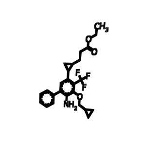 CCOC(=O)CCC1CC1c1cc(-c2ccccc2)c(N)c(OCC2CC2)c1C(F)(F)F